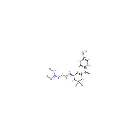 C=C(C1=C/C(=N/OCCN(CC)CC)CC(C)(C)C1)c1ccc(OC)cc1